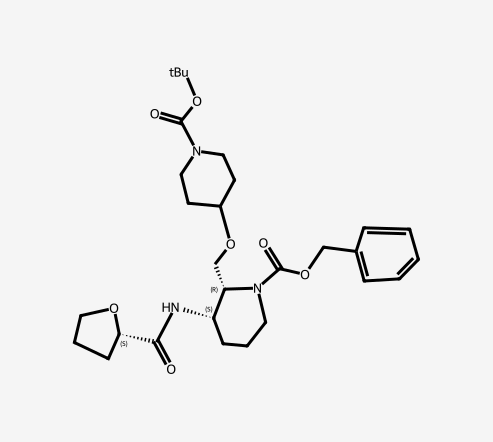 CC(C)(C)OC(=O)N1CCC(OC[C@H]2[C@@H](NC(=O)[C@@H]3CCCO3)CCCN2C(=O)OCc2ccccc2)CC1